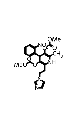 COC(=O)OC1=C(C)NC(CCn2ccnc2)=C(OC(=O)OC)C1c1ccccc1[N+](=O)[O-]